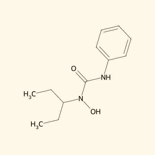 CCC(CC)N(O)C(=O)Nc1ccccc1